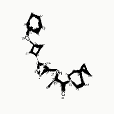 C[C@@H](Nc1nnc([C@H]2C[C@H](Oc3ccccc3)C2)o1)C(=O)N1CCC2(CC1)CC2